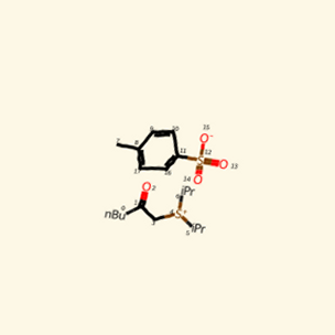 CCCCC(=O)C[S+](C(C)C)C(C)C.Cc1ccc(S(=O)(=O)[O-])cc1